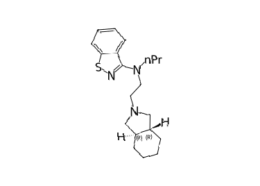 CCCN(CCN1C[C@@H]2CCCC[C@H]2C1)c1nsc2ccccc12